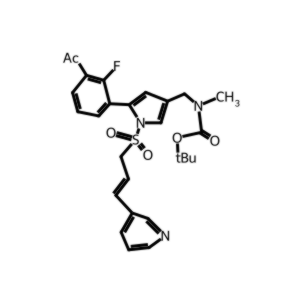 CC(=O)c1cccc(-c2cc(CN(C)C(=O)OC(C)(C)C)cn2S(=O)(=O)CC=Cc2cccnc2)c1F